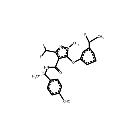 CC(F)c1cccc(Oc2c(C(=O)N[C@@H](C)c3ccc(C=O)cc3)c(C(F)F)nn2C)c1